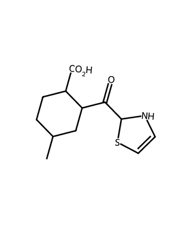 CC1CCC(C(=O)O)C(C(=O)C2NC=CS2)C1